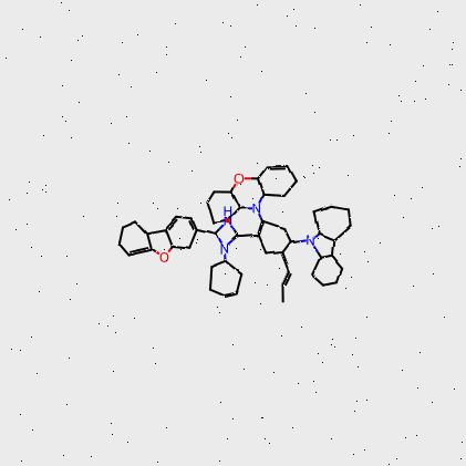 C/C=C/C1CC(C2NC(C3=CC=C4C(C3)OC3=CCCCC34)N2C2CCCCC2)C(N2C3CCC=CC3OC3CCCCC32)CC1N1C2CCCCC2C2CCCCC21